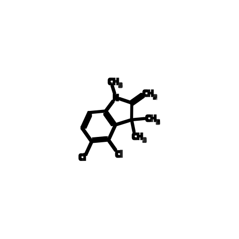 C=C1N(C)c2ccc(Cl)c(Cl)c2C1(C)C